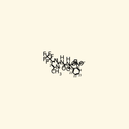 Cc1cc(C(F)(F)C(F)(F)F)nc(NC(=O)NS(=O)(=O)c2ccccc2[N+](=O)[O-])n1